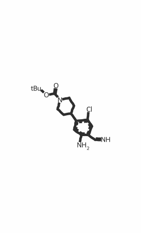 CC(C)(C)OC(=O)N1CCC(c2cc(N)c(C=N)cc2Cl)CC1